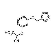 N#CC(Oc1cccc(OCc2ccsc2)c1)C(=O)O